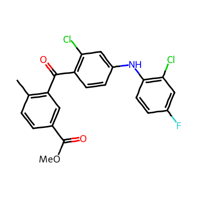 COC(=O)c1ccc(C)c(C(=O)c2ccc(Nc3ccc(F)cc3Cl)cc2Cl)c1